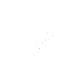 COc1cc(OS(C)(=O)=O)ccc1-c1cn2cc[nH]c(=O)c2n1